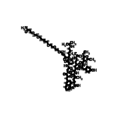 C=C(CCNC(=N)N)[C@@H](NC(=O)C(CCCCNC(C)C)NC(=O)C(Cc1ccc(O)cc1)NC(=O)C(CCSC)NC(C)=O)C(=O)NC(Cc1ccc2ccccc2c1)C(=O)NCC(=O)NC(CSC)C(=O)NC(CCCCNC(C)C)C(=O)NCCOCCOCCOCCOCCOCCOCCC(N)=O